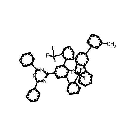 Cc1cccc(-c2ccc3c(c2)c2ccccc2n3-c2c(-c3ccccc3C(F)(F)F)cc(-c3nc(-c4ccccc4)nc(-c4ccccc4)n3)cc2-c2ccccc2C(F)(F)F)c1